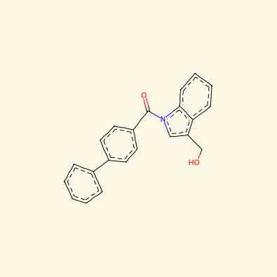 O=C(c1ccc(-c2ccccc2)cc1)n1cc(CO)c2ccccc21